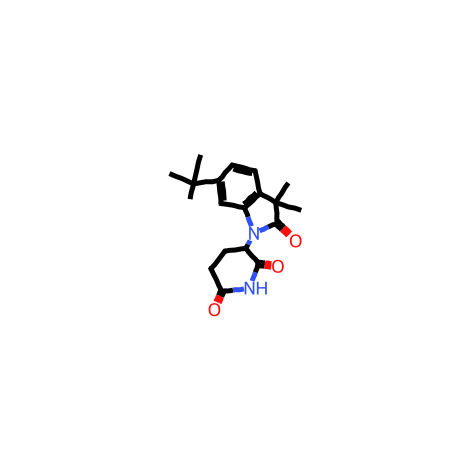 CC(C)(C)c1ccc2c(c1)N(C1CCC(=O)NC1=O)C(=O)C2(C)C